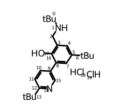 CC(C)(C)NCc1cc(C(C)(C)C)cc(-c2ccc(C(C)(C)C)nc2)c1O.Cl.Cl